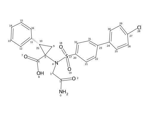 NC(=O)CN(C1(C(=O)O)C[C@H]1c1ccccc1)S(=O)(=O)c1ccc(-c2ccc(Cl)cc2)cc1